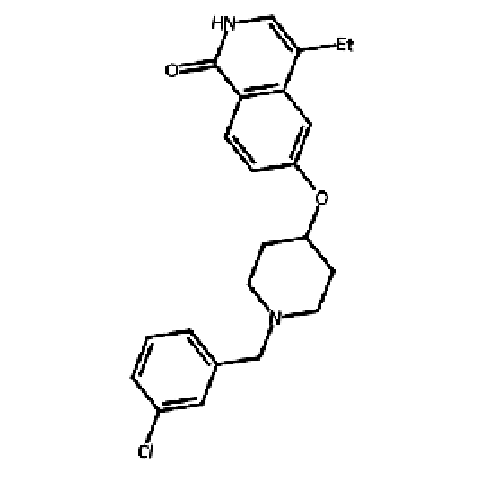 CCc1c[nH]c(=O)c2ccc(OC3CCN(Cc4cccc(Cl)c4)CC3)cc12